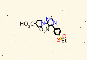 CCS(=O)(=O)c1ccc(-c2ncnc(N3CCC(C(=O)O)CC3)c2[N+](=O)[O-])cc1